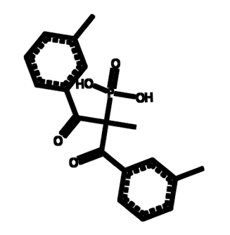 Cc1cccc(C(=O)C(C)(C(=O)c2cccc(C)c2)P(=O)(O)O)c1